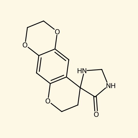 O=C1NCNC12CCOc1cc3c(cc12)OCCO3